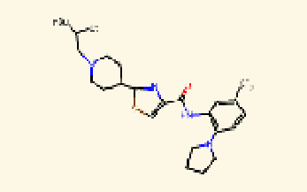 CCCCC(CC)CN1CCC(c2nc(C(=O)Nc3cc(C(F)(F)F)ccc3N3CCCC3)cs2)CC1